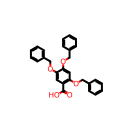 O=C(O)c1cc(OCc2ccccc2)c(OCc2ccccc2)cc1OCc1ccccc1